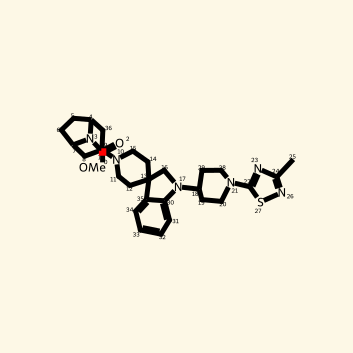 COC(=O)N1C2CCC1CC(N1CCC3(CC1)CN(C1CCN(c4nc(C)ns4)CC1)c1ccccc13)C2